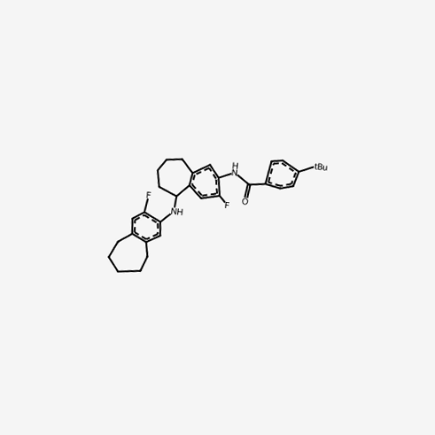 CC(C)(C)c1ccc(C(=O)Nc2cc3c(cc2F)C(Nc2cc4c(cc2F)CCCCC4)CCCC3)cc1